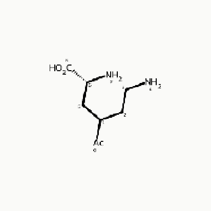 CC(=O)C(CCN)C[C@@H](N)C(=O)O